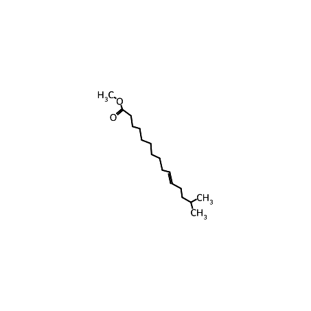 COC(=O)CCCCCCCC/C=C/CCC(C)C